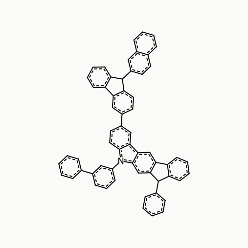 c1ccc(-c2cccc(-n3c4ccc(-c5ccc6c(c5)-c5ccccc5C6c5ccc6ccccc6c5)cc4c4cc5c(cc43)C(c3ccccc3)c3ccccc3-5)c2)cc1